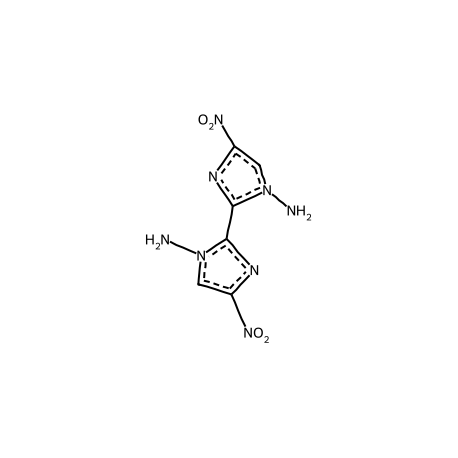 Nn1cc([N+](=O)[O-])nc1-c1nc([N+](=O)[O-])cn1N